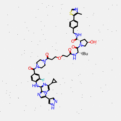 Cc1ncsc1-c1ccc(CNC(=O)[C@@H]2C[C@@H](O)CN2C(=O)[C@@H](NC(=O)CCOCCC(=O)N2CCN(C(=O)c3ccc(Nc4nc(C5CC5)cn5c(-c6cn[nH]c6)cnc45)c(F)c3)CC2)C(C)(C)C)cc1